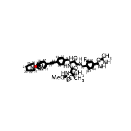 COC(=O)N[C@H](C(=O)N[C@@H](Cc1ccc(C#Cc2ccc(N3CC4CCC(C3)N4C3COC3)nc2)cc1)[C@@H](O)CNCc1c(F)cc(C(=N)OC(C)=N)cc1F)C(C)(C)C(F)(F)F